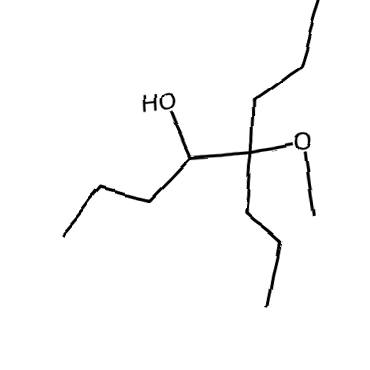 CCCC(O)C(CCC)(CCC)OC